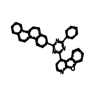 c1ccc(-c2nc(-c3ccc4c(ccc5c6ccccc6ccc45)c3)nc(-c3ccnc4oc5ccccc5c34)n2)cc1